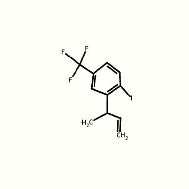 [CH2]C(C=C)c1cc(C(F)(F)F)ccc1I